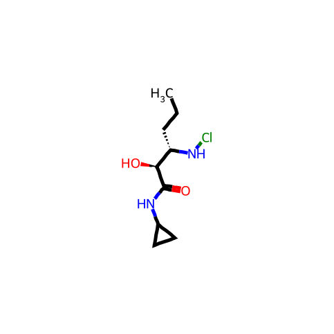 CCC[C@H](NCl)[C@H](O)C(=O)NC1CC1